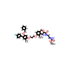 CCCc1c(OCCCOc2cc(OCc3ccccc3)c(-c3ccc(F)cc3)cc2CC)ccc2c1CC(C(=O)NCCNC(=O)OC(C)(C)C)OC2